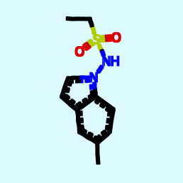 CCS(=O)(=O)Nn1ccc2cc(C)ccc21